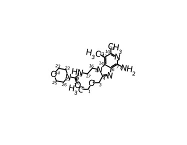 CCOCc1nc2c(N)nc(C)c(C)c2n1CCNC(=O)N1CCOCC1